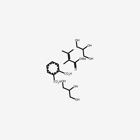 COC(=O)C(C)=C(C)C.O=C(O)c1ccccc1C(=O)O.OCC(O)CO.OCC(O)CO